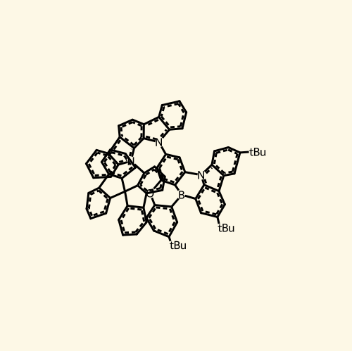 CC(C)(C)c1ccc2c(c1)B1c3c(cc(-n4c5ccccc5c5ccc6c7ccccc7n(-c7cccc8c7C7(c9ccccc9-c9ccccc97)c7ccccc7-8)c6c54)cc3-n3c4ccc(C(C)(C)C)cc4c4cc(C(C)(C)C)cc1c43)O2